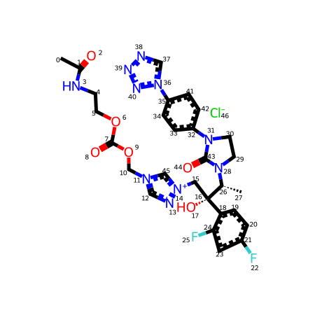 CC(=O)NCCOC(=O)OCn1cn[n+](C[C@](O)(c2ccc(F)cc2F)[C@@H](C)N2CCN(c3ccc(-n4cnnn4)cc3)C2=O)c1.[Cl-]